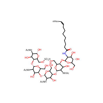 CCCCCC/C=C\CCCCCCCC(=O)NC1C(O)[C@H](O)C(CO)O[C@H]1O[C@@H]1C(CO)O[C@@H](O[C@@H]2C(CO)O[C@@H](O[C@@H]3C(CO)O[C@@H](O[C@@H]4C(COS(=O)(=O)O)O[C@@H](O)C(NC(C)=O)C4O)C(NC(C)=O)C3O)C(NC(C)=O)C2O)C(NC(C)=O)C1O